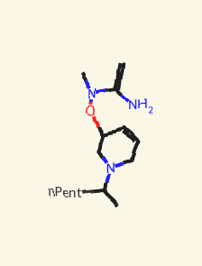 C=C(N)N(C)OC1C=CCN(C(C)CCCCC)C1